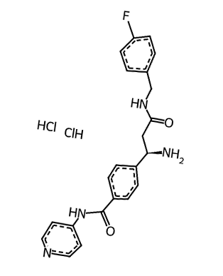 Cl.Cl.N[C@H](CC(=O)NCc1ccc(F)cc1)c1ccc(C(=O)Nc2ccncc2)cc1